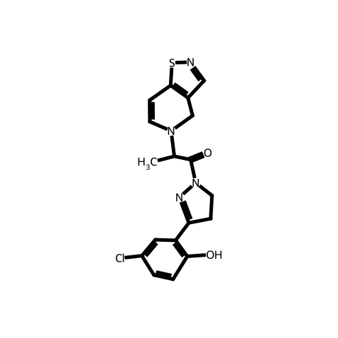 CC(C(=O)N1CCC(c2cc(Cl)ccc2O)=N1)N1C=Cc2sncc2C1